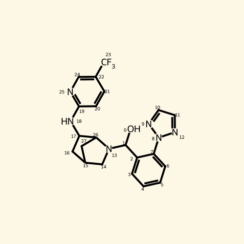 OC(c1ccccc1-n1nccn1)N1CC2CC(Nc3ccc(C(F)(F)F)cn3)C1C2